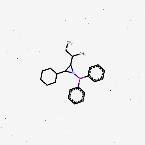 CCC(C)C1C(C2CCCCC2)N1P(c1ccccc1)c1ccccc1